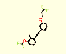 Cc1c(C#Cc2cccc(OCCC(F)F)c2)cccc1OC(F)F